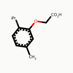 Cc1ccc(C(C)C)c(OCC(=O)O)c1